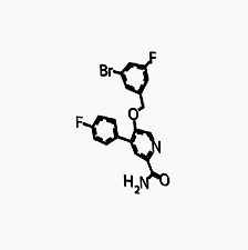 NC(=O)c1cc(-c2ccc(F)cc2)c(OCc2cc(F)cc(Br)c2)cn1